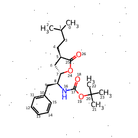 CC(C)CC[C@@H]1C[C@@H]([C@H](Cc2ccccc2)NC(=O)OC(C)(C)C)OC1=O